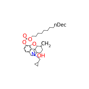 C=C1CCC2(O)C3Cc4ccc(OC(=O)OCCCCCCCCCCCCCCCCCC)c5c4C2(CCN3CC2CC2)C1O5